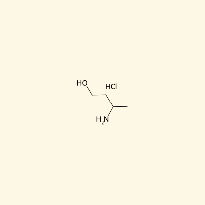 CC(N)CCO.Cl